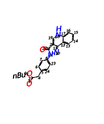 CCCCOC(=O)Cc1ccc(-n2nc3c4ccccc4[nH]cc-3c2=O)cc1